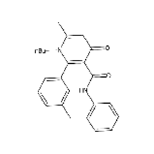 CCCCn1c(C)cc(=O)c(C(=O)Nc2ccccc2)c1-c1cccc(C)c1